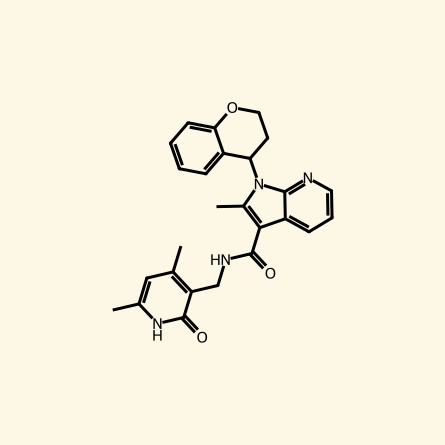 Cc1cc(C)c(CNC(=O)c2c(C)n(C3CCOc4ccccc43)c3ncccc23)c(=O)[nH]1